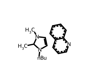 CCCCN1C=CN(C)C1C.c1ccc2ncccc2c1